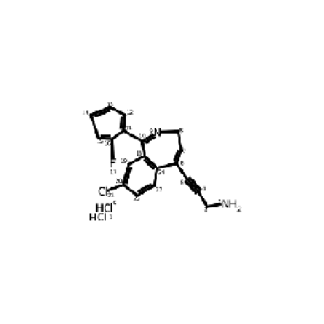 Cl.Cl.NCC#CC1=CCN=C(c2ccccc2F)c2cc(Cl)ccc21